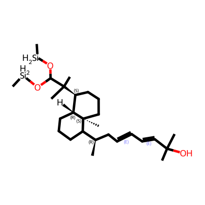 C[SiH2]OC(O[SiH2]C)C(C)(C)[C@H]1CCC[C@@]2(C)C([C@H](C)C/C=C/C=C/C(C)(C)O)CCC[C@H]12